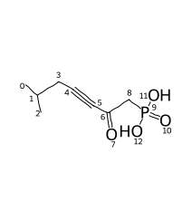 CC(C)CC#CC(=O)CP(=O)(O)O